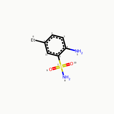 CCc1ccc(N)c(S(N)(=O)=O)c1